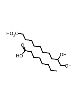 CCCCCCCC(=O)O.O=C(O)CCCCCCCCC(O)CO